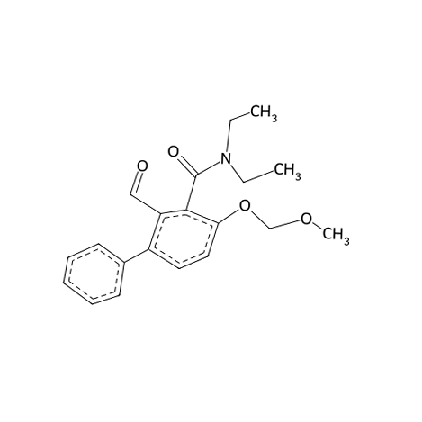 CCN(CC)C(=O)c1c(OCOC)ccc(-c2ccccc2)c1C=O